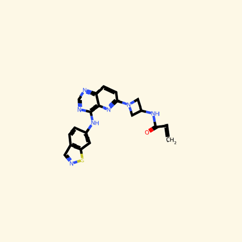 C=CC(=O)NC1CN(c2ccc3ncnc(Nc4ccc5cnsc5c4)c3n2)C1